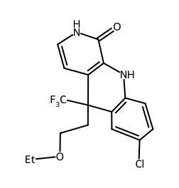 CCOCCC1(C(F)(F)F)c2cc(Cl)ccc2Nc2c1cc[nH]c2=O